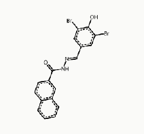 O=C(N/N=C/c1cc(Br)c(O)c(Br)c1)c1ccc2ccccc2c1